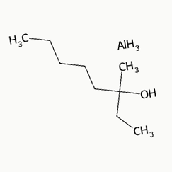 CCCCCC(C)(O)CC.[AlH3]